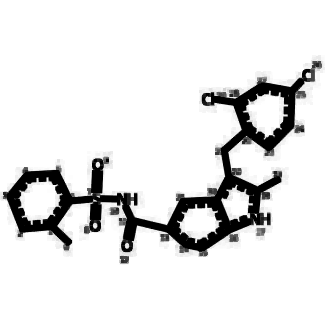 Cc1ccccc1S(=O)(=O)NC(=O)c1ccc2[nH]c(C)c(Cc3ccc(Cl)cc3Cl)c2c1